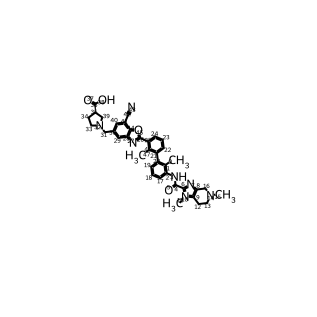 Cc1c(NC(=O)c2nc3c(n2C)CCN(C)C3)cccc1-c1cccc(-c2nc3cc(CN4CC[C@@H](C(=O)O)C4)cc(C#N)c3o2)c1C